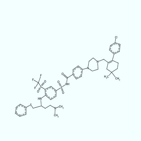 CN(C)CCC(CSc1ccccc1)Nc1ccc(S(=O)(=O)NC(=O)c2ccc(N3CCN(CC4=C(c5ccc(Cl)cc5)CCC(C)(C)C4)CC3)cc2)cc1S(=O)(=O)C(F)(F)F